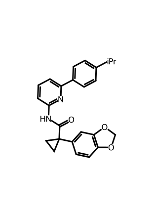 CC(C)c1ccc(-c2cccc(NC(=O)C3(c4ccc5c(c4)OCO5)CC3)n2)cc1